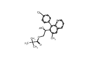 Cc1cc2cccnc2c(-c2ccc(Cl)cc2)c1C(O)COC(=O)C(C)(C)C